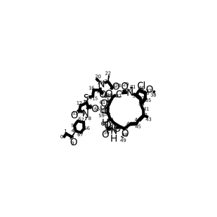 CCC(=O)[C@H]1CC[C@H](CN2C(=O)C[C@@H](SCCC(=O)N(C)[C@@H](C)C(=O)O[C@H]3CC(=O)N(C)c4cc(cc(OC)c4Cl)C/C(C)=C/C=C/[C@@H](OC)[C@@]4(O)C[C@H](OC(=O)N4)[C@@H](C)[C@@H]4O[C@@]34C)C2=O)CC1